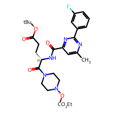 CCOC(=O)ON1CCN(C(=O)[C@H](CCC(=O)OC(C)(C)C)NC(=O)c2cc(C)nc(-c3cccc(F)c3)n2)CC1